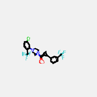 O=C(C1CC1c1cccc(C(F)(F)F)c1)N1CCN(c2cc(Cl)ccc2C(F)(F)F)CC1